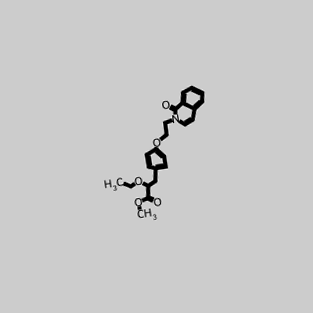 CCOC(Cc1ccc(OCCn2ccc3ccccc3c2=O)cc1)C(=O)OC